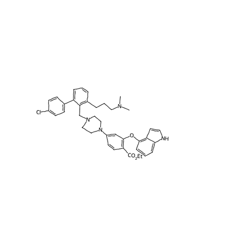 CCOC(=O)c1ccc(N2CCN(Cc3c(CCCN(C)C)cccc3-c3ccc(Cl)cc3)CC2)cc1Oc1cccc2[nH]ccc12